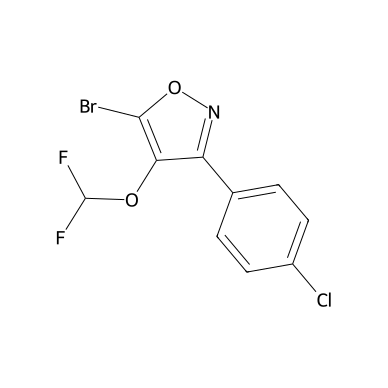 FC(F)Oc1c(-c2ccc(Cl)cc2)noc1Br